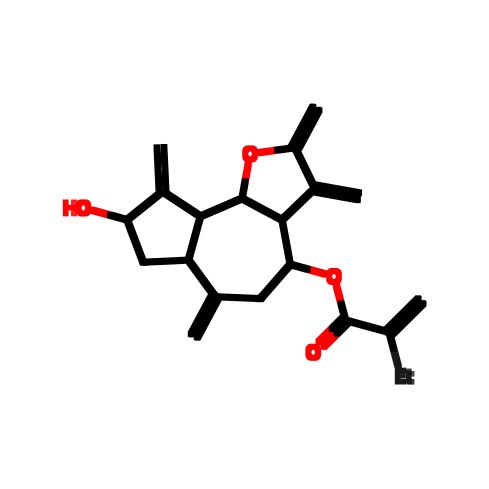 C=C(CC)C(=O)OC1CC(=C)C2CC(O)C(=C)C2C2OC(=C)C(=C)C12